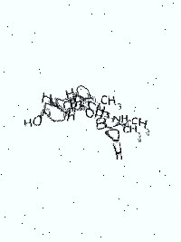 CC[C@@H](C)[C@H](NC(=O)CCC(C)[C@H]1CC[C@H]2[C@@H]3CC[C@@H]4C[C@H](O)CC[C@]4(C)[C@H]3C[C@H](O)[C@]12C)C(=O)O